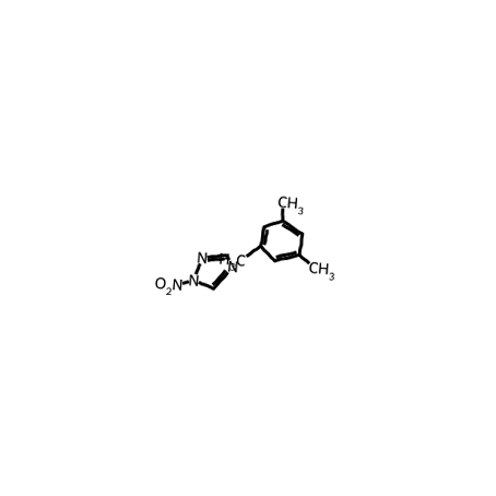 Cc1cc(C)cc(C)c1.O=[N+]([O-])n1cncn1